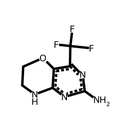 Nc1nc2c(c(C(F)(F)F)n1)OCCN2